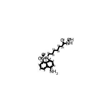 Nc1ccc2c3c(cccc13)S(=O)(=O)N2CCCCCCC(=O)NO